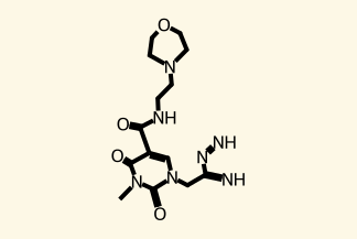 Cn1c(=O)c(C(=O)NCCN2CCOCC2)cn(CC(=N)N=N)c1=O